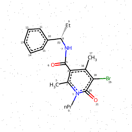 CCCn1c(C)c(C(=O)N[C@@H](CC)c2ccccc2)c(C)c(Br)c1=O